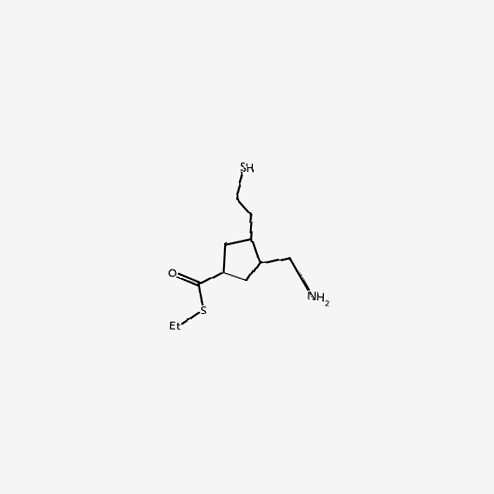 CCSC(=O)C1CC(CN)C(CCS)C1